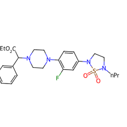 CCCN1CCN(c2ccc(N3CCN(C(C(=O)OCC)c4ccccc4)CC3)c(F)c2)S1(=O)=O